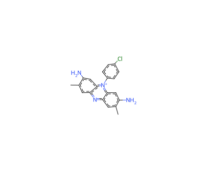 Cc1cc2nc3cc(C)c(N)cc3[n+](-c3ccc(Cl)cc3)c2cc1N